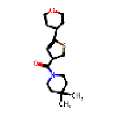 CC1(C)CCN(C(=O)C2C=C(C3CCOCC3)SC2)CC1